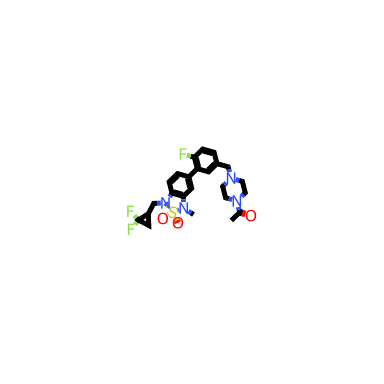 CC(=O)N1CCN(Cc2ccc(F)c(-c3ccc4c(c3)N(C)S(=O)(=O)N4CC3CC3(F)F)c2)CC1